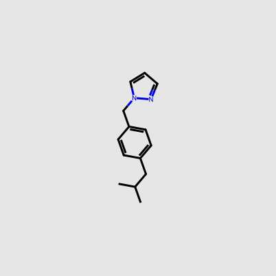 CC(C)Cc1ccc(Cn2cccn2)cc1